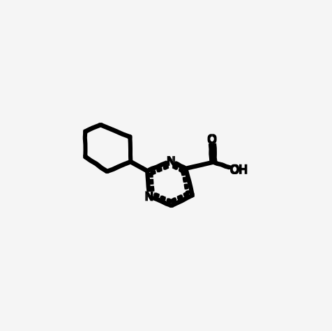 O=C(O)c1ccnc(C2CCCCC2)n1